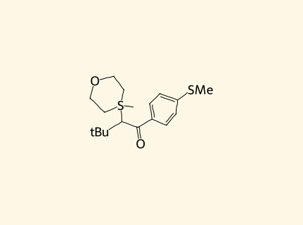 CSc1ccc(C(=O)C(C(C)(C)C)S2(C)CCOCC2)cc1